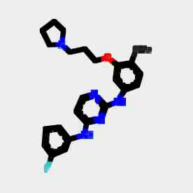 COc1ccc(Nc2nccc(Nc3cccc(F)c3)n2)cc1OCCCN1CCCC1